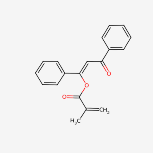 C=C(C)C(=O)OC(=CC(=O)c1ccccc1)c1ccccc1